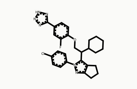 Fc1cc(-c2nn[nH]n2)ccc1OCC(c1c2c(nn1-c1ccc(Cl)cc1)CCC2)C1CCCCC1